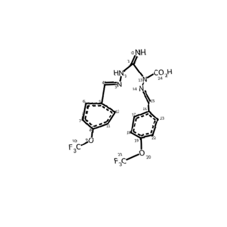 N=C(NN=Cc1ccc(OC(F)(F)F)cc1)N(N=Cc1ccc(OC(F)(F)F)cc1)C(=O)O